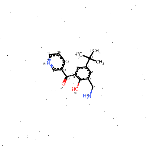 CC(C)(C)c1cc(CN)c(O)c(C(=O)c2cccnc2)c1